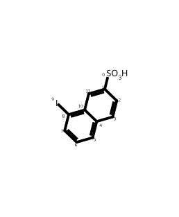 O=S(=O)(O)c1ccc2cccc(I)c2c1